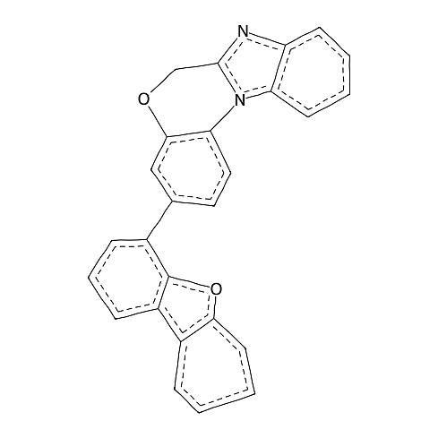 c1ccc2c(c1)nc1n2-c2ccc(-c3cccc4c3oc3ccccc34)cc2OC1